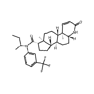 CCC(C)N(C(=O)[C@H]1CC[C@H]2[C@@H]3CC[C@H]4NC(=O)C=C[C@]4(C)[C@H]3CC[C@]12C)c1cccc(C(F)(F)F)c1